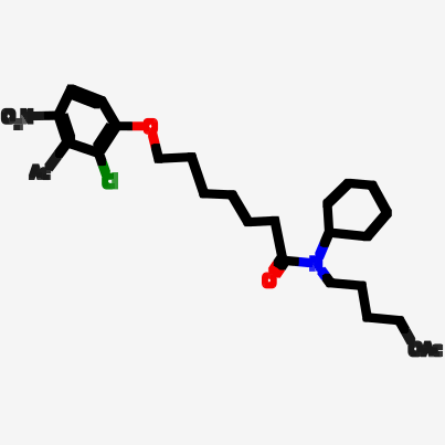 CC(=O)OCCCCN(C(=O)CCCCCCOc1ccc([N+](=O)[O-])c(C(C)=O)c1Cl)C1CCCCC1